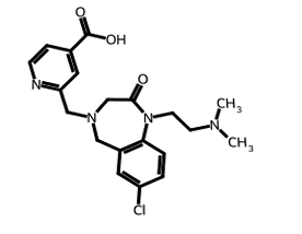 CN(C)CCN1C(=O)CN(Cc2cc(C(=O)O)ccn2)Cc2cc(Cl)ccc21